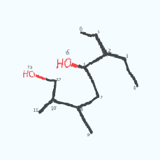 CCC(CC)C(O)CC(C)C(C)CO